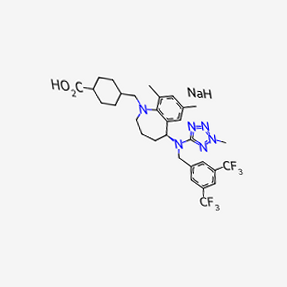 Cc1cc(C)c2c(c1)[C@@H](N(Cc1cc(C(F)(F)F)cc(C(F)(F)F)c1)c1nnn(C)n1)CCCN2CC1CCC(C(=O)O)CC1.[NaH]